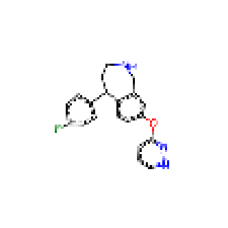 Fc1ccc(C2CCNCc3cc(Oc4cccnn4)ccc32)cc1